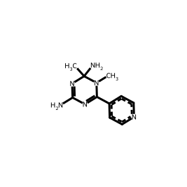 CN1C(c2ccncc2)=NC(N)=NC1(C)N